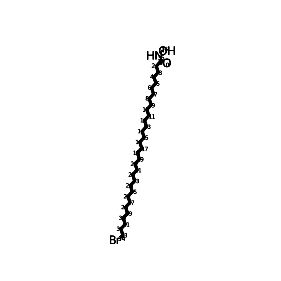 O=C(CCCCCCCCCCCCCCCCCCCCCCCCCCCCCCCCBr)NO